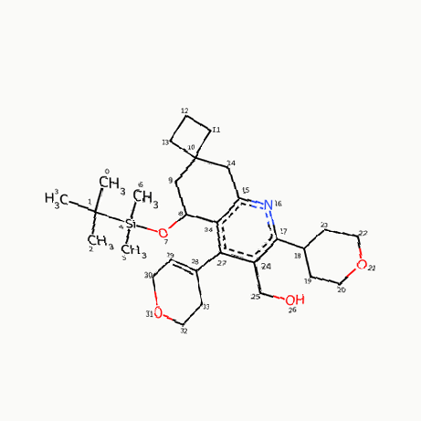 CC(C)(C)[Si](C)(C)OC1CC2(CCC2)Cc2nc(C3CCOCC3)c(CO)c(C3=CCOCC3)c21